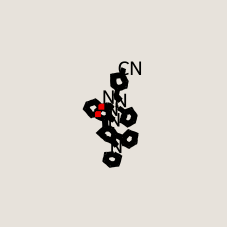 N#Cc1ccc(-c2nc(-c3ccccc3)nc(-c3ccccc3-n3c4ccccc4c4ccc5c(c6ccccc6n5-c5ccccc5)c43)n2)cc1